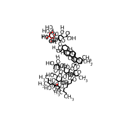 CC[C@H](C)[C@H](CC(O)CC(=O)O[C@@H]1[C@H](O)[C@@H](O[C@@H]2O[C@@H](C)[C@H](O[C@@H]3OC[C@@H](O)[C@H](O)[C@H]3O)[C@@H](O[C@@H]3O[C@H](CO)[C@@H](O)[C@H](O)[C@H]3O)[C@H]2O)[C@H](OC(=O)[C@]23CCC(C)(C)CC2C2=CC[C@H]4C(C)(CC[C@H]5[C@](C)(C=O)[C@@H](O[C@@H]6O[C@H](C(=O)O)[C@@H](O)C(O[C@@H]7OC[C@@H](O)[C@H](O)[C@H]7O)[C@H]6O[C@@H]6O[C@H](CO)[C@H](O)[C@H](O)[C@H]6O)CC[C@]45C)[C@]2(C)CC3)O[C@@H]1C)OC(=O)CC(O)C[C@H](O)[C@@H](C)CC